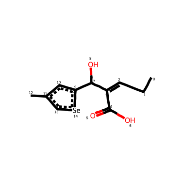 CCC=C(C(=O)O)C(O)c1cc(C)c[se]1